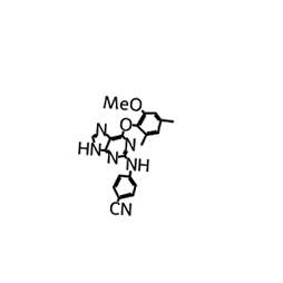 COc1cc(C)cc(C)c1Oc1nc(Nc2ccc(C#N)cc2)nc2[nH]cnc12